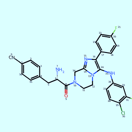 [C-]#[N+]c1ccc(C[C@H](N)C(=O)N2CCn3c(nc(-c4ccc(F)cc4)c3Nc3ccc(Cl)c(F)c3)C2)cc1